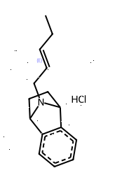 CC/C=C/CN1C2CCC1c1ccccc12.Cl